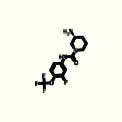 N[C@@H]1CCCN(C(=O)Nc2ccc(OC(F)(F)F)c(F)c2)C1